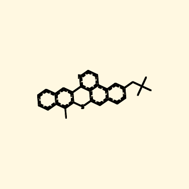 Cc1c2c(cc3ccccc13)-c1nccc3c1c(cc1ccc(CC(C)(C)C)cc13)S2